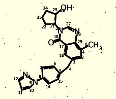 Cc1cc(Cc2ccc(-n3cccn3)cc2)cc2c(=O)n(C3CCCC3O)cnc12